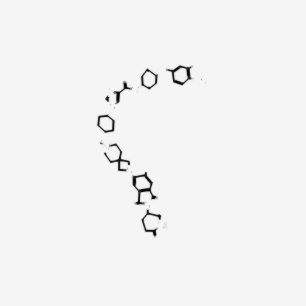 N#Cc1ccc(O[C@H]2CC[C@H](NC(=O)c3cn([C@H]4CC[C@H](CN5CCC6(CC5)CN(c5cc7c(cc5F)C(=O)N(C5CCC(=O)NC5=O)C7=O)C6)CC4)cn3)CC2)cc1Cl